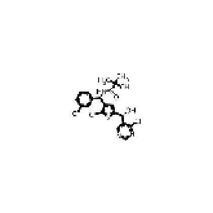 CC(C)(C)[S+]([O-])N[C@@H](c1cccc(Cl)c1)c1cc([C@H](O)c2cncnc2Cl)sc1Cl